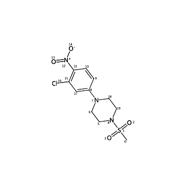 CS(=O)(=O)N1CCN(c2ccc([N+](=O)[O-])c(Cl)c2)CC1